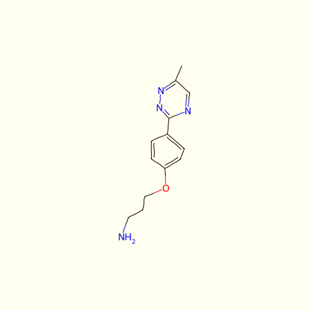 Cc1cnc(-c2ccc(OCCCN)cc2)nn1